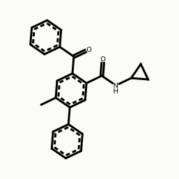 Cc1cc(C(=O)c2ccccc2)c(C(=O)NC2CC2)cc1-c1ccccc1